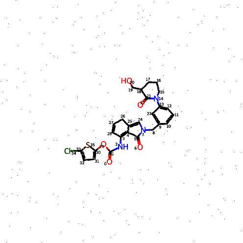 O=C(NC1=C2C(=O)N(Cc3cccc(N4CCCC(CO)C4=O)c3)C=C2CC=C1)Oc1ccc(Cl)s1